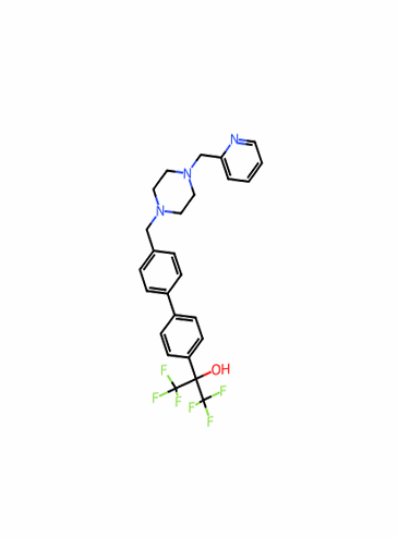 OC(c1ccc(-c2ccc(CN3CCN(Cc4ccccn4)CC3)cc2)cc1)(C(F)(F)F)C(F)(F)F